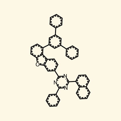 c1ccc(-c2cc(-c3ccccc3)cc(-c3cccc4oc5cc(-c6nc(-c7ccccc7)nc(-c7cccc8ccccc78)n6)ccc5c34)c2)cc1